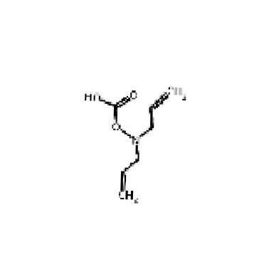 C=CCN(CC=C)OC(=O)O